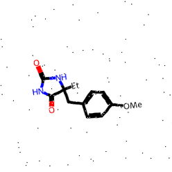 CCC1(Cc2ccc(OC)cc2)NC(=O)NC1=O